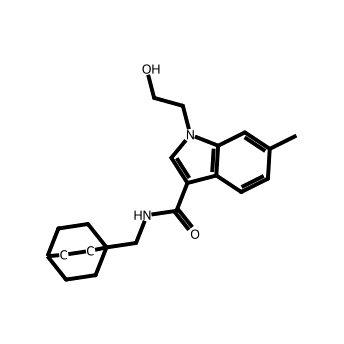 Cc1ccc2c(C(=O)NCC34CCC(CC3)CC4)cn(CCO)c2c1